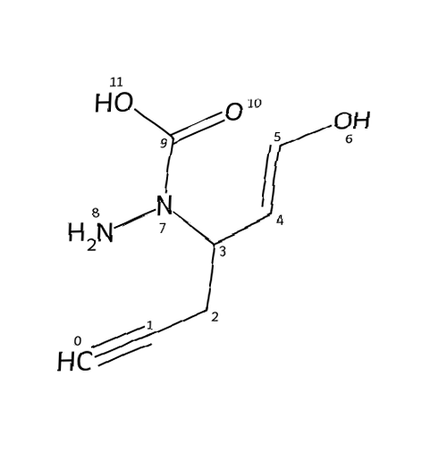 C#CCC(C=CO)N(N)C(=O)O